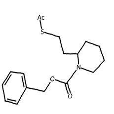 CC(=O)SCCC1CCCCN1C(=O)OCc1ccccc1